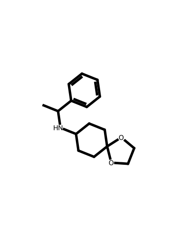 CC(NC1CCC2(CC1)OCCO2)c1ccccc1